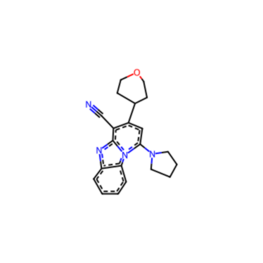 N#Cc1c(C2CCOCC2)cc(N2CCCC2)n2c1nc1ccccc12